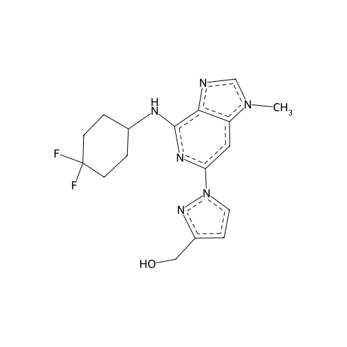 Cn1cnc2c(NC3CCC(F)(F)CC3)nc(-n3ccc(CO)n3)cc21